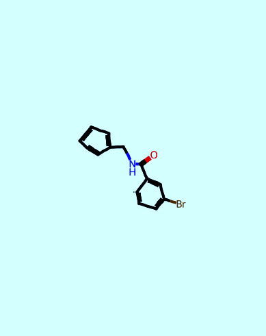 O=C(NCc1ccccc1)c1[c]ccc(Br)c1